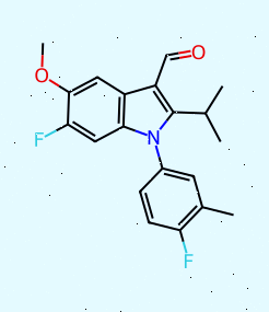 COc1cc2c(C=O)c(C(C)C)n(-c3ccc(F)c(C)c3)c2cc1F